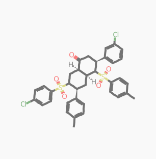 Cc1ccc([C@@H]2C[C@@H]3C(S(=O)(=O)c4ccc(C)cc4)[C@H](c4cccc(Cl)c4)CC(=O)[C@@H]3CC2S(=O)(=O)c2ccc(Cl)cc2)cc1